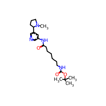 CN1CCCC1c1cncc(NC(=O)CCCCCCNC(=O)OC(C)(C)C)c1